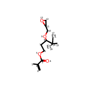 C=C(C)C(=O)OCCC(OCC1CO1)C(C)(CC)CC